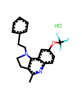 Cc1nc2ccc(OC(F)(F)F)cc2c2c1CCN2CCc1ccccc1.Cl